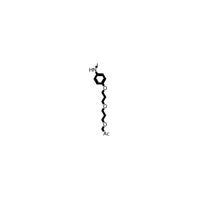 CC(=O)COCCCOCCCOc1ccc(NI)cc1